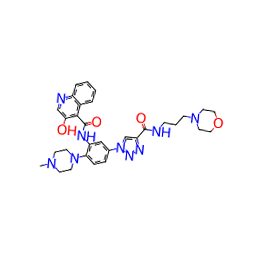 CN1CCN(c2ccc(-n3cc(C(=O)NCCCN4CCOCC4)nn3)cc2NC(=O)c2c(O)cnc3ccccc23)CC1